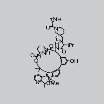 CCn1c(-c2cccnc2[C@H](C)OC)c2c3cc(ccc31)-c1cc(O)cc(c1)C[C@H](NC(=O)C(C(C)C)N1CC[C@]3(CCCN(C(=O)[C@H]4CN4)C3)C1)C(=O)N1CCC[C@H](N1)C(=O)OCC(C)(C)C2